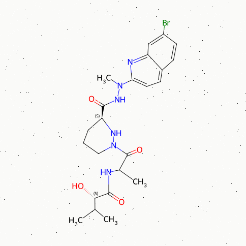 CC(NC(=O)[C@@H](O)C(C)C)C(=O)N1CCC[C@@H](C(=O)NN(C)c2ccc3ccc(Br)cc3n2)N1